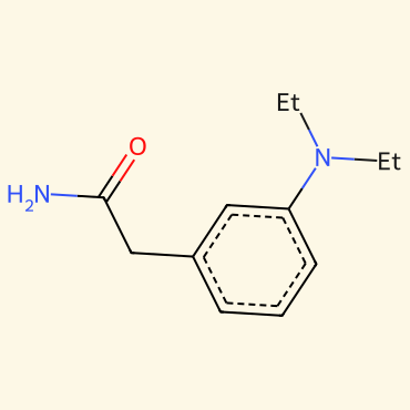 CCN(CC)c1cccc(CC(N)=O)c1